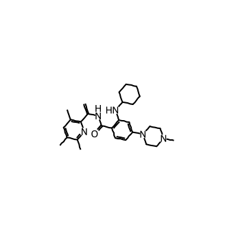 C=C(NC(=O)c1ccc(N2CCN(C)CC2)cc1NC1CCCCC1)c1nc(C)c(C)cc1C